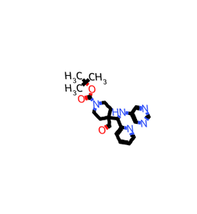 CC(C)(C)OC(=O)N1CCC(C=O)(C(Nc2cncnc2)c2ccccn2)CC1